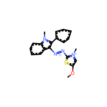 COc1c[n+](C)c(/N=N/c2c(-c3ccccc3)n(C)c3ccccc23)s1